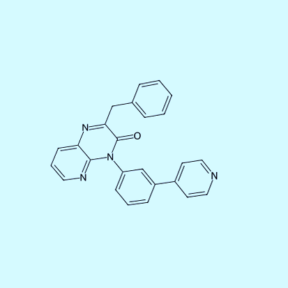 O=c1c(Cc2ccccc2)nc2cccnc2n1-c1cccc(-c2ccncc2)c1